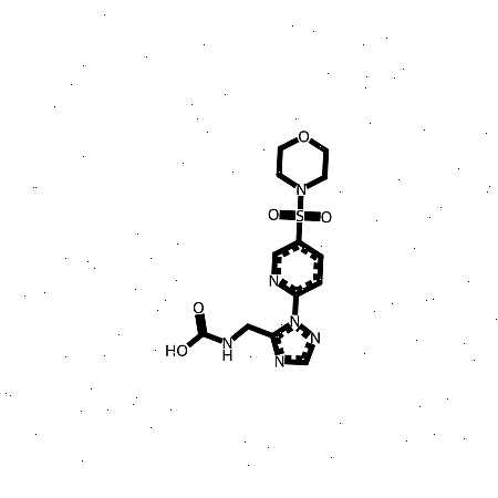 O=C(O)NCc1ncnn1-c1ccc(S(=O)(=O)N2CCOCC2)cn1